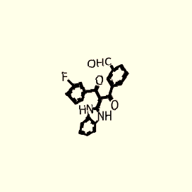 O=Cc1cccc(C(=O)C(C(=O)c2cccc(F)c2)=C2Nc3ccccc3N2)c1